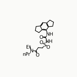 CCCN(CC)C(=O)CCS(=O)(=O)NC(=O)Nc1c2c(cc3c1CCC3)CCC2